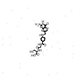 Nc1nc2nc(CNc3ccc(C(=O)NCC(=O)NC(CS)C(=O)O)cc3)cnc2c(=O)[nH]1